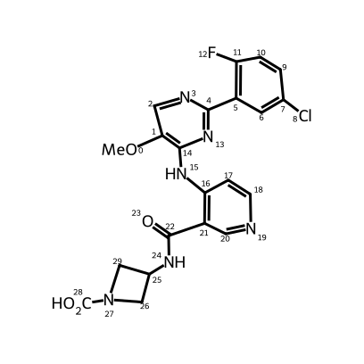 COc1cnc(-c2cc(Cl)ccc2F)nc1Nc1ccncc1C(=O)NC1CN(C(=O)O)C1